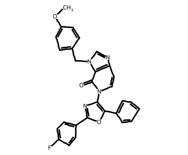 COc1ccc(Cn2cnc3ccn(-c4nc(-c5ccc(F)cc5)oc4-c4ccccc4)c(=O)c32)cc1